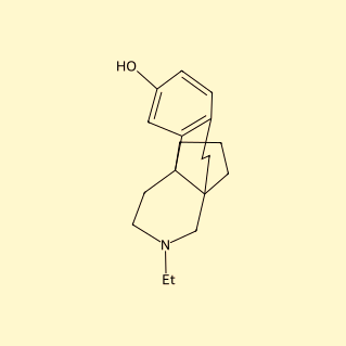 CCN1CCC23CCCC2(CCc2ccc(O)cc23)C1